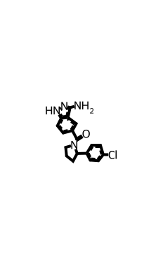 Nc1n[nH]c2ccc(C(=O)N3CCCC3c3ccc(Cl)cc3)cc12